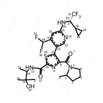 CC1CCCN1C(=O)c1nc(C(=O)NC(C)C(C)(C)O)sc1-c1cnc(N[C@@H](C2CC2)C(F)(F)F)cc1C(F)F